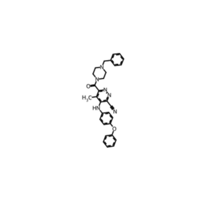 Cc1c(C(=O)N2CCN(Cc3ccccc3)CC2)nnc(C#N)c1Nc1ccc(Oc2ccccc2)cc1